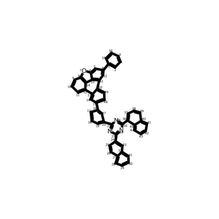 c1ccc(-c2cc3oc4cccc5c6cc(-c7cccc(-c8nc(-c9ccc%10ccccc%10c9)nc(-c9cccc%10ccccc9%10)n8)c7)ccc6c(c2)c3c45)cc1